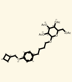 CC(=O)OCC1OC(OCCCCc2ccc(OCC3CCC3)cc2)C(OC(C)=O)C(OC(C)=O)C1OC(C)=O